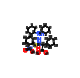 C1CCC(NC2CCCCC2)CC1.O=C(O)C(NSc1ccccc1[N+](=O)[O-])c1ccccc1